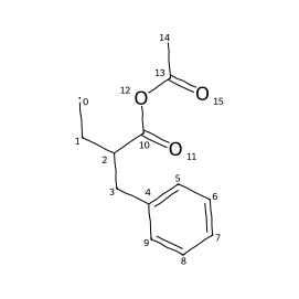 [CH2]CC(Cc1ccccc1)C(=O)OC(C)=O